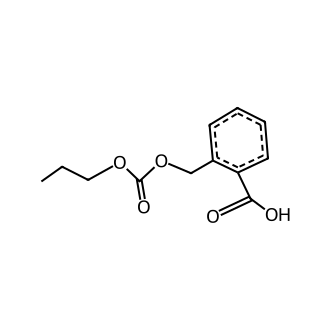 CCCOC(=O)OCc1ccccc1C(=O)O